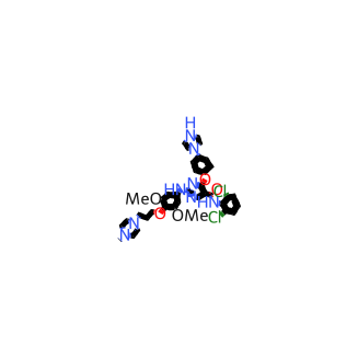 COc1cc(Nc2ncc(C(=O)Nc3c(Cl)cccc3Cl)c(Oc3ccc(N4CCNCC4)cc3)n2)cc(OC)c1OCCCN1CCN(C)CC1